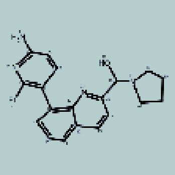 CCc1nc(N)ccc1-c1cccc2ccc(C(O)N3CCCC3)nc12